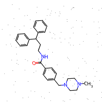 CN1CCN(Cc2ccc(C(=O)NCCC(c3ccccc3)c3ccccc3)cc2)CC1